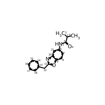 CC(C)C(=O)Nc1ccc2oc(Cc3ccccc3)nc2c1